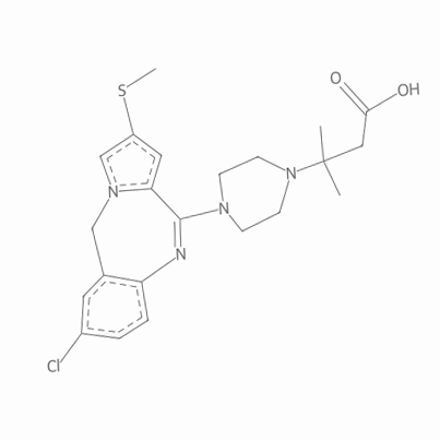 CSc1cc2n(c1)Cc1cc(Cl)ccc1N=C2N1CCN(C(C)(C)CC(=O)O)CC1